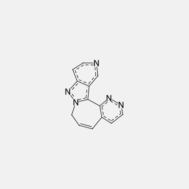 C1=Cc2ccnnc2-c2c3cnccc3nn2C1